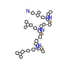 N#Cc1ccc(-c2ccc(-c3ccc(-c4cc5c(sc6cccc(-c7ccc8ccc9c(nc%10c%11sc%12ccc(-c%13ccc%14ccc%15c(nc%16c%17sc%18ccccc%18c%17cc(-c%17ccc(-c%18ccc(-c%19ccc%20c%21ccccc%21c%21ccccc%21c%20c%19)cc%18)cc%17)n%15%16)c%14c%13)cc%12c%11cc(-c%11ccc(-c%12ccc%13c%14ccccc%14c%14ccccc%14c%13c%12)cc%11)n9%10)c8c7)c65)c5nc6c7ccccc7ccc6n45)cc3)c3ccccc23)cc1